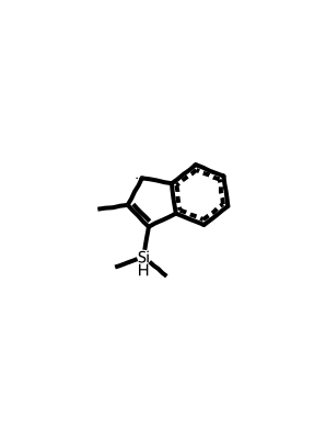 CC1=C([SiH](C)C)c2ccccc2[CH]1